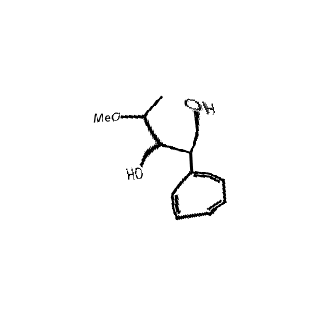 COC(C)C(O)C(CO)c1ccccc1